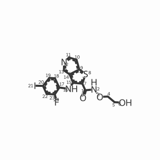 O=C(NOCCO)c1sc2ccncc2c1Nc1ccc(I)cc1F